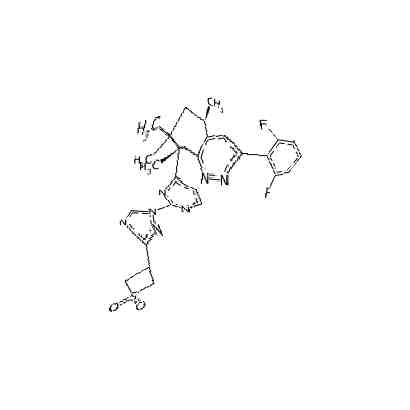 C[C@@H]1CC(C)(C)[C@@](C)(c2ccnc(-n3cnc(C4CS(=O)(=O)C4)n3)n2)c2nnc(-c3c(F)cccc3F)cc21